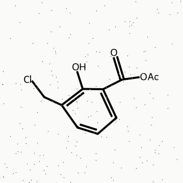 CC(=O)OC(=O)c1cccc(CCl)c1O